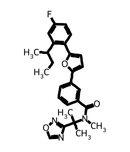 CCC(C)c1cc(F)ccc1-c1ccc(-c2cccc(C(=O)N(C)C(C)(C)c3ncon3)c2)o1